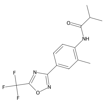 Cc1cc(-c2noc(C(F)(F)F)n2)ccc1NC(=O)C(C)C